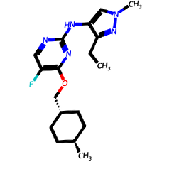 CCc1nn(C)cc1Nc1ncc(F)c(OC[C@H]2CC[C@H](C)CC2)n1